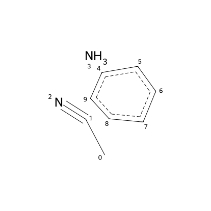 CC#N.N.c1ccccc1